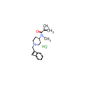 C=C(C)C(=O)N(C)C1CCN(CC2=Cc3ccccc32)CC1.Cl